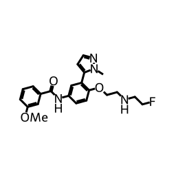 COc1cccc(C(=O)Nc2ccc(OCCNCCF)c(-c3ccnn3C)c2)c1